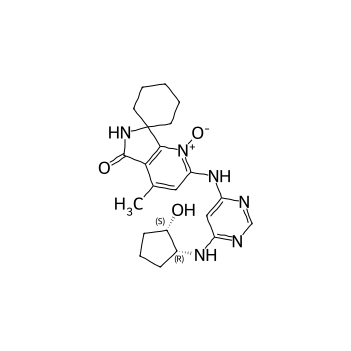 Cc1cc(Nc2cc(N[C@@H]3CCC[C@@H]3O)ncn2)[n+]([O-])c2c1C(=O)NC21CCCCC1